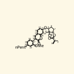 C=C(C)C(=O)OC1CCC(Oc2ccc3cc(-c4ccc(CCCCC)cc4OC)c(=O)oc3c2)C1(C)C(F)(F)F